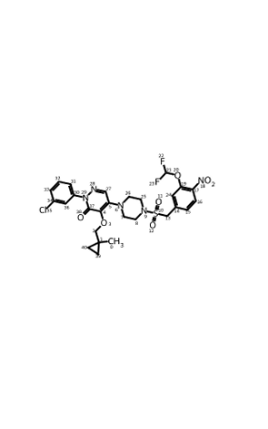 CC1(COc2c(N3CCN(S(=O)(=O)Cc4ccc([N+](=O)[O-])c(OC(F)F)c4)CC3)cnn(-c3cccc(Cl)c3)c2=O)CC1